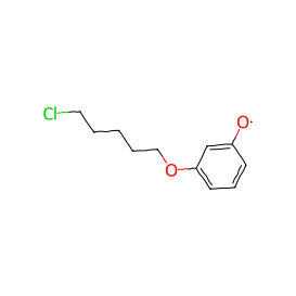 [O]c1cccc(OCCCCCCl)c1